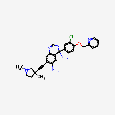 CN1CCC(C)(C#Cc2cc3c(cc2N)C(N)(c2ccc(OCc4ccccn4)c(Cl)c2)NC=N3)C1